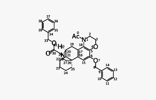 CC(=O)N1CCOc2c(OCc3ccccc3)cc3c(c21)C[C@H]1C2CCCC[C@@]32CCN1C(=O)OCc1ccccc1